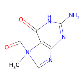 C[N+]1(C=O)C=Nc2nc(N)[nH]c(=O)c21